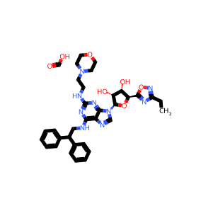 CCc1noc([C@H]2O[C@@H](n3cnc4c(NCC(c5ccccc5)c5ccccc5)nc(NCCN5CCOCC5)nc43)[C@H](O)[C@@H]2O)n1.O=CO